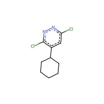 Clc1cc(C2CCCCC2)c(Cl)nn1